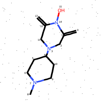 C=C1CN(C2CCN(C)CC2)CC(=C)N1O